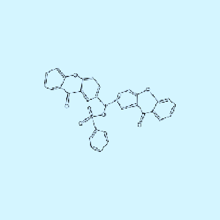 O=c1c2ccccc2oc2ccc([I+](OS(=O)(=O)c3ccccc3)c3ccc4oc5ccccc5c(=O)c4c3)cc12